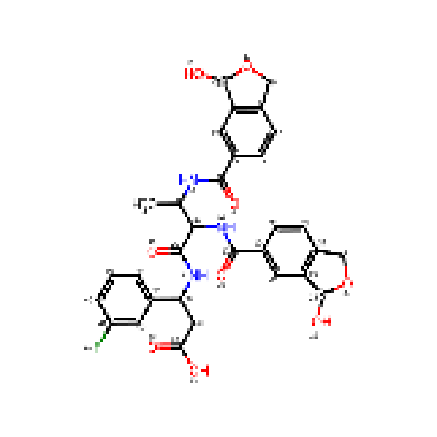 CC(NC(=O)c1ccc2c(c1)B(O)OC2)C(NC(=O)c1ccc2c(c1)B(O)OC2)C(=O)NC(CC(=O)O)c1cccc(F)c1